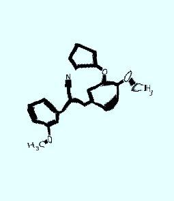 COc1cccc(C(C#N)=Cc2ccc(OC)c(OC3CCCC3)c2)c1